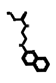 CC(C)(C)OC(=O)NCCNc1ccc2ccccc2n1